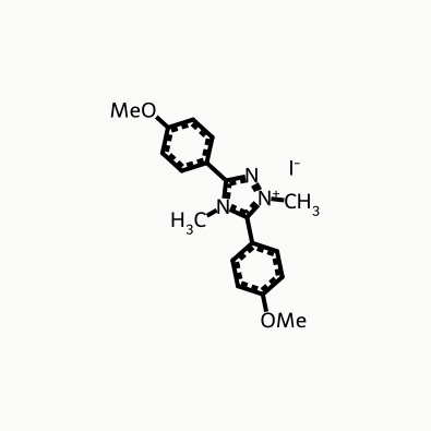 COc1ccc(-c2n[n+](C)c(-c3ccc(OC)cc3)n2C)cc1.[I-]